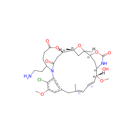 COc1cc2cc(c1Cl)N1C(=O)C[C@H](OC(=O)CCC1CCN)[C@@]1(C)CC(C)(O1)[C@@H]1C[C@@](O)(NC(=O)O1)[C@H](OC)/C=C/C=C(\C)C2